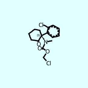 CN(C(=O)OCCl)[C@]1(c2ccccc2Cl)CCCCC1=O